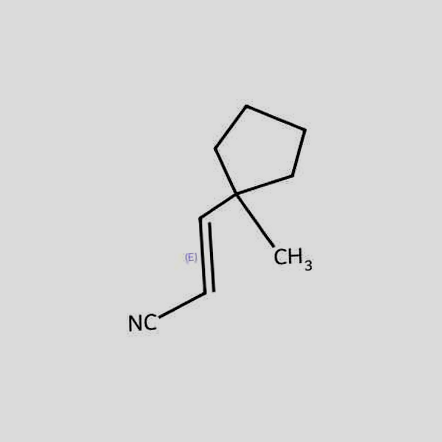 CC1(/C=C/C#N)CCCC1